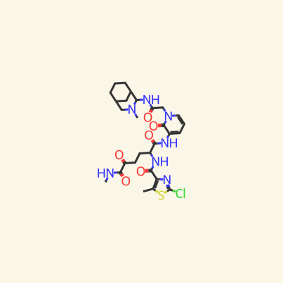 CNC(=O)C(=O)CCC(NC(=O)c1nc(Cl)sc1C)C(=O)Nc1cccn(CC(=O)NC2C3CCCC(C3)CN2C)c1=O